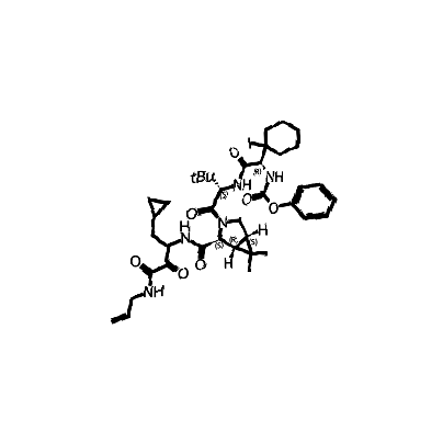 C=CCNC(=O)C(=O)C(CC1CC1)NC(=O)[C@@H]1[C@@H]2[C@H](CN1C(=O)[C@@H](NC(=O)[C@@H](NC(=O)Oc1ccccc1)C1(I)CCCCC1)C(C)(C)C)C2(C)C